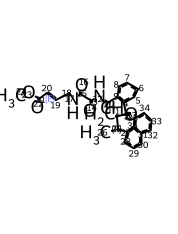 C=C(C(=O)c1ccccc1C(C)NC(=O)C(=O)NC/C=C/C(=O)OC)[C@H](C)c1cccc2ccccc12